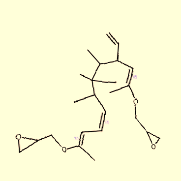 C=CC(/C=C(\C)OCC1CO1)C(C)C(C)(C)C(C)/C=C\C=C(/C)OCC1CO1